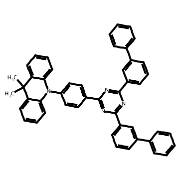 CC1(C)c2ccccc2N(c2ccc(-c3nc(-c4cccc(-c5ccccc5)c4)nc(-c4cccc(-c5ccccc5)c4)n3)cc2)c2ccccc21